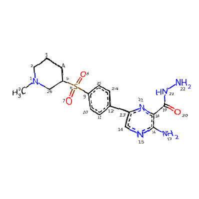 CN1CCCC(S(=O)(=O)c2ccc(-c3cnc(N)c(C(=O)NN)n3)cc2)C1